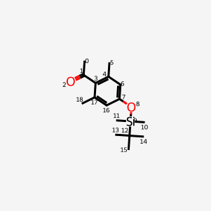 CC(=O)c1c(C)cc(O[Si](C)(C)C(C)(C)C)cc1C